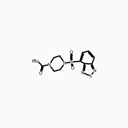 CC(C)(C)C(=O)N1CCN(S(=O)(=O)c2cccc3nsnc23)CC1